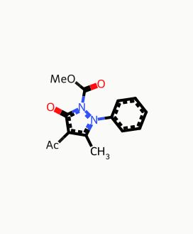 COC(=O)n1c(=O)c(C(C)=O)c(C)n1-c1ccccc1